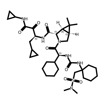 CN(C)S(=O)(=O)CC1(NC(=O)N[C@H](C(=O)N2C[C@H]3[C@@H]([C@H]2C(=O)N[C@@H](CC2CC2)C(=O)C(=O)NC2CC2)C3(C)C)C2CCCCC2)CCCCC1